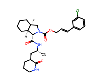 C[C@@]12CCCC[C@@H]1[C@@H](C(=O)N[C@H](C#N)C[C@@H]1CCCNC1=O)N(C(=O)OC/C=C/c1cccc(Cl)c1)C2